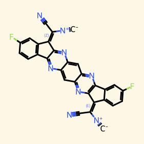 [C-]#[N+]/C(C#N)=C1/c2cc(F)ccc2-c2nc3cc4nc5c(nc4cc3nc21)-c1cc(F)ccc1/C5=C(/C#N)[N+]#[C-]